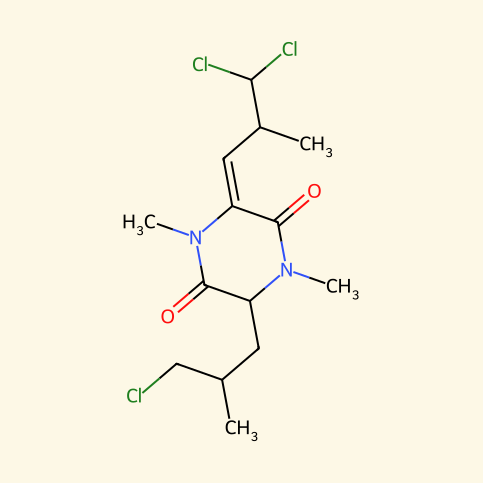 CC(CCl)CC1C(=O)N(C)/C(=C/C(C)C(Cl)Cl)C(=O)N1C